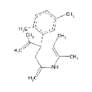 C=C1CC(C(=C)C)(c2cc(C)ccc2C)C(C)=C(C)N1